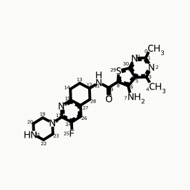 Cc1nc(C)c2c(N)c(C(=O)NC3CCc4nc(N5CCNCC5)c(F)cc4C3)sc2n1